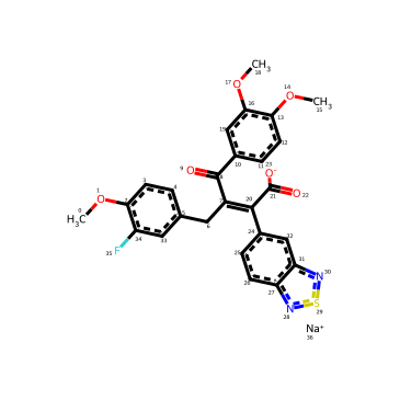 COc1ccc(CC(C(=O)c2ccc(OC)c(OC)c2)=C(C(=O)[O-])c2ccc3nsnc3c2)cc1F.[Na+]